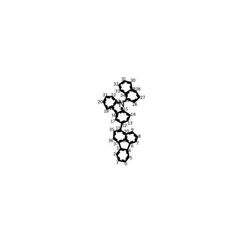 c1ccc2c(c1)-c1cccc3c(-c4ccc5c(c4)c4ccccc4n5-c4cccc5ccccc45)ccc-2c13